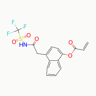 C=CC(=O)Oc1ccc(CC(=O)NS(=O)(=O)C(F)(F)F)c2ccccc12